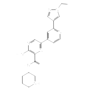 Nc1ncc(-c2ccnc(-c3cnn(CC(F)(F)F)c3)c2)nc1C(=O)N[C@H]1CCCNC1